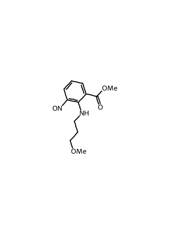 COCCCNc1c(N=O)cccc1C(=O)OC